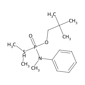 CN(c1ccccc1)P(=O)(OCC(C)(C)C)[SH](C)C